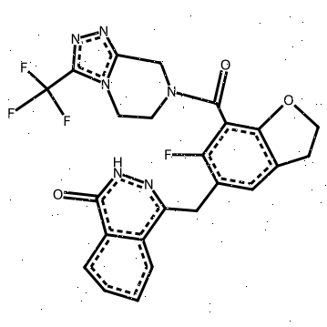 O=C(c1c(F)c(Cc2n[nH]c(=O)c3ccccc23)cc2c1OCC2)N1CCn2c(nnc2C(F)(F)F)C1